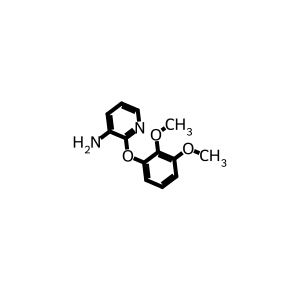 COc1cccc(Oc2ncccc2N)c1OC